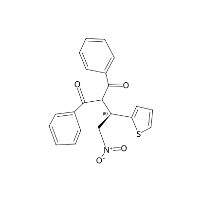 O=C(c1ccccc1)C(C(=O)c1ccccc1)[C@H](C[N+](=O)[O-])c1cccs1